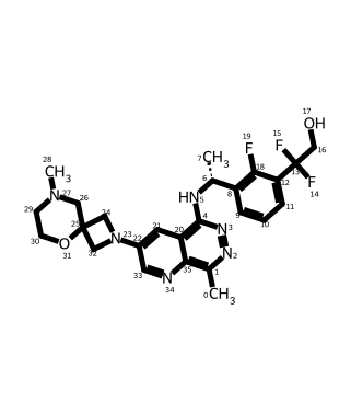 Cc1nnc(N[C@H](C)c2cccc(C(F)(F)CO)c2F)c2cc(N3CC4(CN(C)CCO4)C3)cnc12